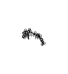 C=CCOC(=O)N1c2cc(OCCCC(=O)Nc3cn(C)c(C(=O)Nc4ccc5sc(C(=O)OC)cc5c4)n3)c(OC)cc2C(=O)N2CCCCC2C1OC1CCCCO1